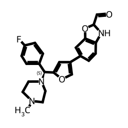 CN1CCN([C@@H](c2ccc(F)cc2)c2cc(-c3ccc4c(c3)OC(C=O)N4)co2)CC1